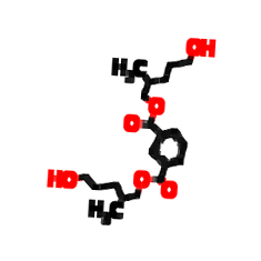 CC(CCCO)COC(=O)c1cccc(C(=O)OCC(C)CCCO)c1